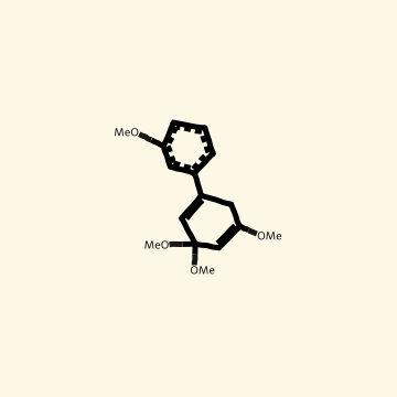 COC1=[C]C(OC)(OC)C=C(c2cc[c]c(OC)c2)C1